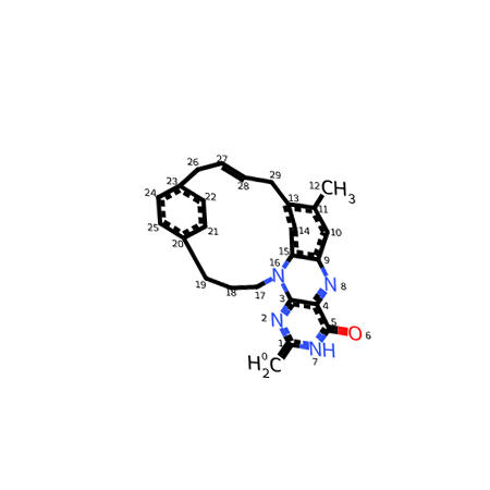 C=c1nc2c(c(=O)[nH]1)=Nc1cc(C)c3cc1N2CCCc1ccc(cc1)C/C=C/C3